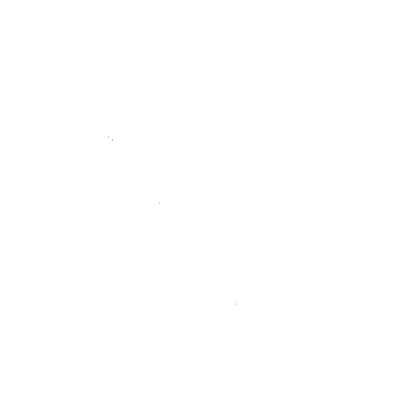 CN(C)C1(C2CCCC2)CCC2(CCN(CCC3(C#N)CCC3)C2)CC1